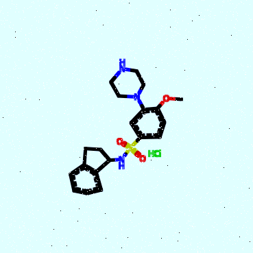 COc1ccc(S(=O)(=O)NC2CCc3ccccc32)cc1N1CCNCC1.Cl